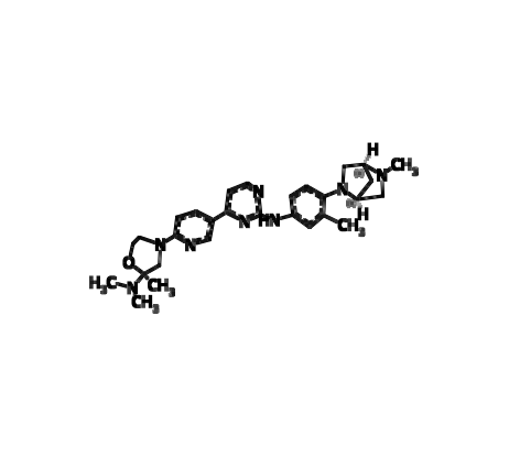 Cc1cc(Nc2nccc(-c3ccc(N4CCOC(C)(N(C)C)C4)nc3)n2)ccc1N1C[C@@H]2C[C@H]1CN2C